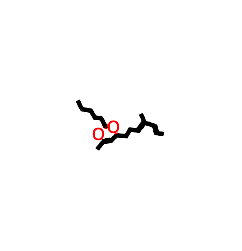 CC=CC(C)=CCCC(C=CC)OC(=O)CCCCC